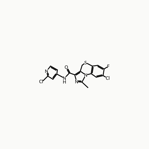 Cc1nc(C(=O)Nc2ccnc(Cl)c2)c2n1-c1cc(Cl)c(F)cc1SC2